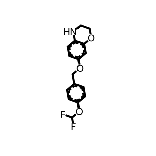 FC(F)Oc1ccc(COc2ccc3c(c2)OCCN3)cc1